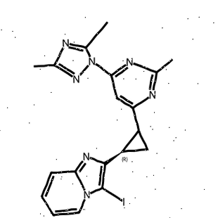 Cc1nc(C2C[C@H]2c2nc3ccccn3c2I)cc(-n2nc(C)nc2C)n1